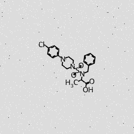 CC(C(=O)O)N(Cc1ccccc1)S(=O)(=O)N1CCN(c2ccc(Cl)cc2)CC1